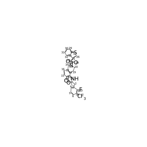 O=C(Cc1cccc(C(F)(F)F)c1F)Nc1c(Cl)ccc2c1CCN(S(=O)(=O)c1csc3ccccc13)C2